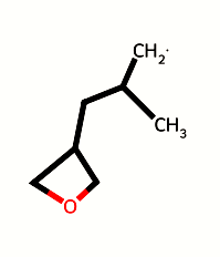 [CH2]C(C)CC1COC1